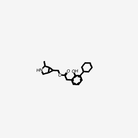 CC1NCC2C(COC(=O)Cc3cccc(C4CCCCC4)c3O)C12